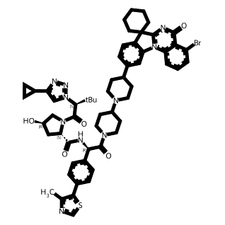 Cc1ncsc1-c1ccc([C@@H](NC(=O)[C@@H]2C[C@@H](O)CN2C(=O)[C@@H](n2cc(C3CC3)nn2)C(C)(C)C)C(=O)N2CCC(N3CCC(c4ccc5c(c4)-n4c(nc(=O)c6c(Br)cccc64)C54CCCCC4)CC3)CC2)cc1